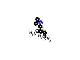 CC(C)Cc1ccc2sc3c(-c4ccc(-c5nnc6c7ccccc7c7ccccc7n56)cc4)cc(CC(C)C)cc3c2c1